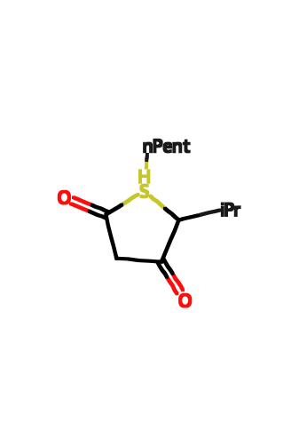 CCCCC[SH]1C(=O)CC(=O)C1C(C)C